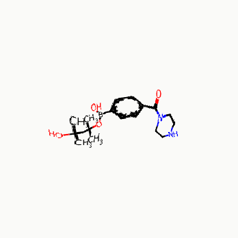 CC(C)(O)C(C)(C)OB(O)c1ccc(C(=O)N2CCNCC2)cc1